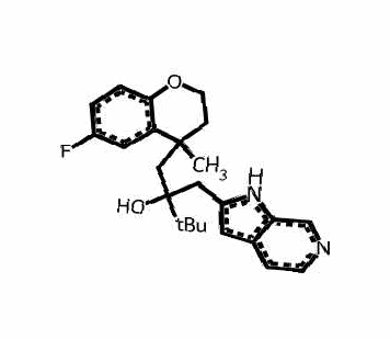 CC1(CC(O)(Cc2cc3ccncc3[nH]2)C(C)(C)C)CCOc2ccc(F)cc21